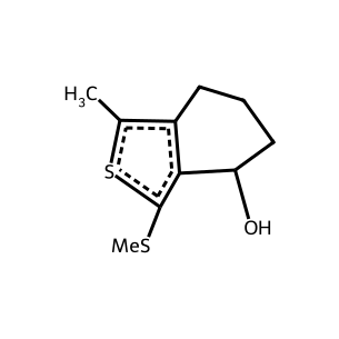 CSc1sc(C)c2c1C(O)CCC2